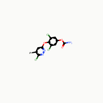 CC(C)c1cc(Oc2c(Cl)cc(OC(N)=O)cc2Cl)nnc1Cl